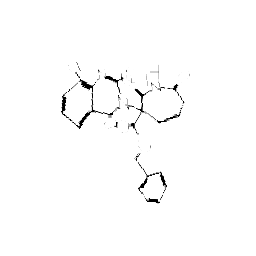 Cc1nc2c(Cl)cccc2c(=O)n1C1(C(=O)OCc2ccccc2)CCCC(=O)NC1=O